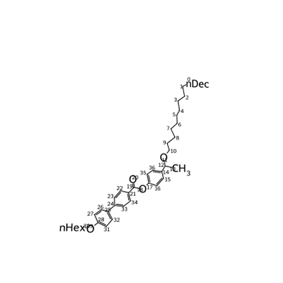 CCCCCCCCCCCCCCCCCCCCOC(C)c1ccc(OC(=O)c2ccc(-c3ccc(OCCCCCC)cc3)cc2)cc1